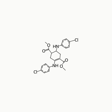 COC(=O)C1=C(Nc2ccc(Cl)cc2)CC(C(=O)OC)C(Nc2ccc(Cl)cc2)C1